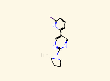 C[C@H]1CCCN1c1ncc(-c2cccc(I)n2)cn1